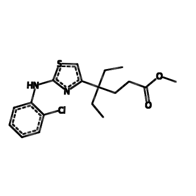 CCC(CC)(CCC(=O)OC)c1csc(Nc2ccccc2Cl)n1